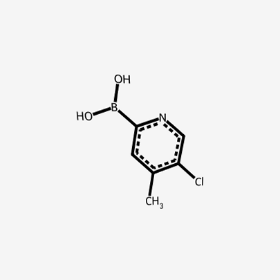 Cc1cc(B(O)O)ncc1Cl